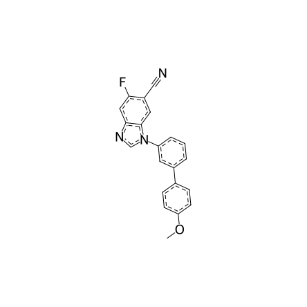 COc1ccc(-c2cccc(-n3cnc4cc(F)c(C#N)cc43)c2)cc1